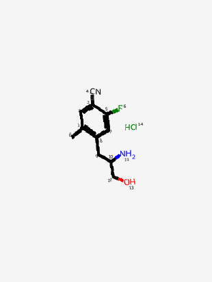 Cc1cc(C#N)c(F)cc1CC(N)CO.Cl